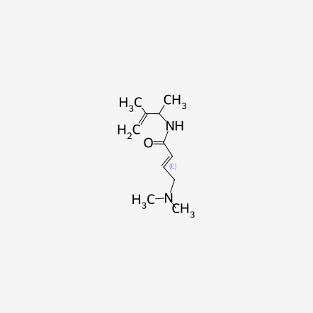 C=C(C)C(C)NC(=O)/C=C/CN(C)C